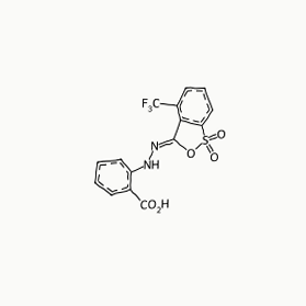 O=C(O)c1ccccc1N/N=C1\OS(=O)(=O)c2cccc(C(F)(F)F)c21